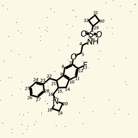 O=S(=O)(NCCOc1cc2c(cc1F)CC(CN1CCC1)C2Cc1ccccc1)C1CCC1